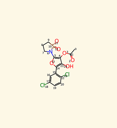 CC(=O)Oc1c(N2CCCS2(=O)=O)oc(-c2cc(Cl)ccc2Cl)c1O